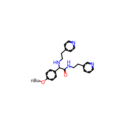 CCCCOc1ccc(C(NCCc2ccncc2)C(=O)NCCc2cccnc2)cc1